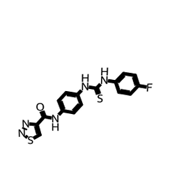 O=C(Nc1ccc(NC(=S)Nc2ccc(F)cc2)cc1)c1csnn1